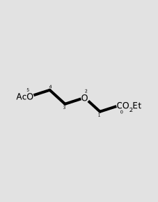 CCOC(=O)COCCOC(C)=O